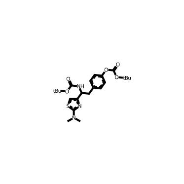 CN(C)c1nc(C(Cc2ccc(OC(=O)OC(C)(C)C)cc2)NC(=O)OC(C)(C)C)cs1